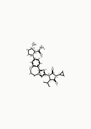 CC(C)C1C(=O)N(C2CC2)C(=O)N1c1cn2c(n1)-c1ccc(N3CC[C@H](O)[C@H]3C(N)=O)cc1OCC2